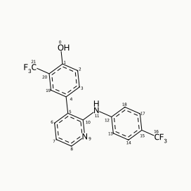 Oc1ccc(-c2cccnc2Nc2ccc(C(F)(F)F)cc2)cc1C(F)(F)F